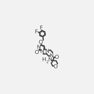 NC1(C(=O)N2CCN3c4cc(OCc5ccc(F)c(F)c5)nc(=O)n4CC3C2)CCOCC1